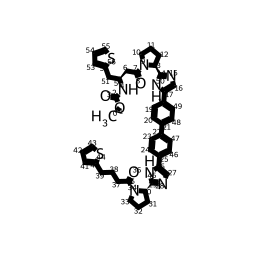 COC(=O)N[C@H](CC(=O)N1CCC[C@H]1c1ncc(-c2ccc(-c3ccc(-c4cnc([C@@H]5CCCN5C(=O)CCCc5cccs5)[nH]4)cc3)cc2)[nH]1)Cc1cccs1